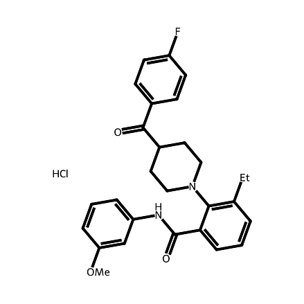 CCc1cccc(C(=O)Nc2cccc(OC)c2)c1N1CCC(C(=O)c2ccc(F)cc2)CC1.Cl